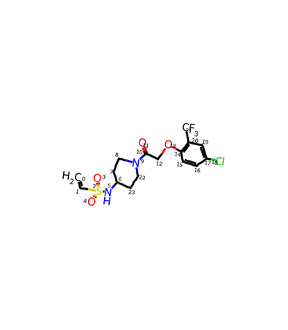 C=CS(=O)(=O)NC1CCN(C(=O)COc2ccc(Cl)cc2C(F)(F)F)CC1